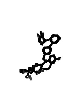 CC(C)(N)CC(=O)NC1CCc2cc(F)ccc2N(Cc2ccc(-c3ccccc3-c3nnn[nH]3)cc2)C1=O